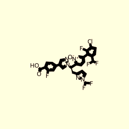 O=C(O)c1ccc(-c2cnn([C@H](Cc3ccn(C(F)F)n3)c3ccc(-c4c(C(F)F)ccc(Cl)c4F)c[n+]3[O-])c2)cc1F